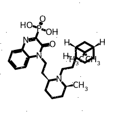 C[C@H]1CCC[C@@H](CCn2c(=O)c(P(=O)(O)O)nc3ccccc32)N1CC[C@@H]1CC[C@H]2C[C@@H]1C2(C)C